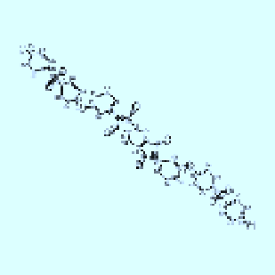 O=c1c2cc3c(=O)n(-c4cccc(Oc5ccc(S(=O)(=O)c6ccc(Cl)cc6)cc5)c4)c(=O)c3cc2c(=O)n1-c1cccc(Oc2ccc(S(=O)(=O)c3ccc(Cl)cc3)cc2)c1